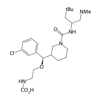 CNCC(CC(C)(C)C)NC(=O)N1CCCC([C@@H](OCCNC(=O)O)c2cccc(Cl)c2)C1